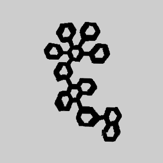 C1=CC(c2c(-c3ccccc3)cc(-c3cccc(-c4c5ccccc5c(-c5cccc(-c6cccc7cccnc67)c5)c5ccccc45)c3)c(-c3ccccc3)c2-c2ccccc2)=CCC1